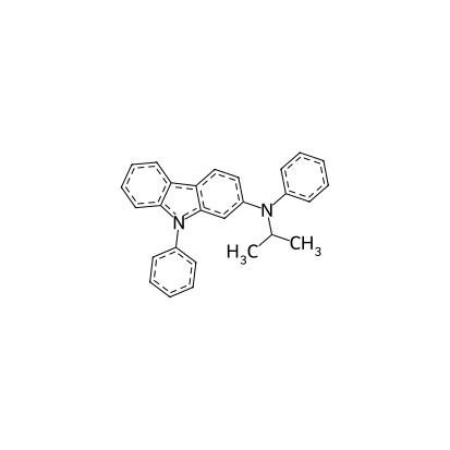 CC(C)N(c1ccccc1)c1ccc2c3ccccc3n(-c3ccccc3)c2c1